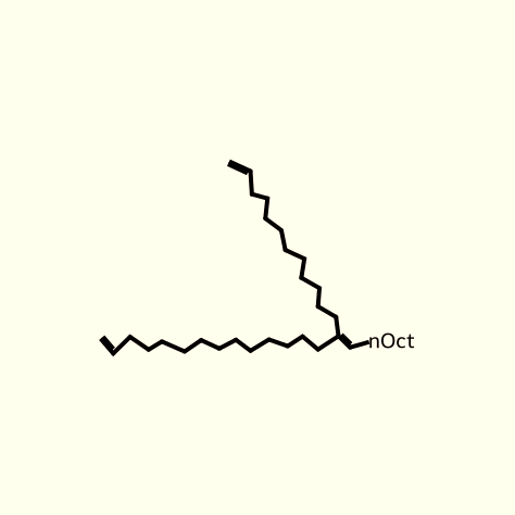 C=CCCCCCCCCCCCCC(=CCCCCCCCC)CCCCCCCCCCC=C